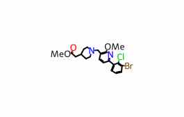 COC(=O)CC1CCN(Cc2ccc(-c3cccc(Br)c3Cl)nc2OC)CC1